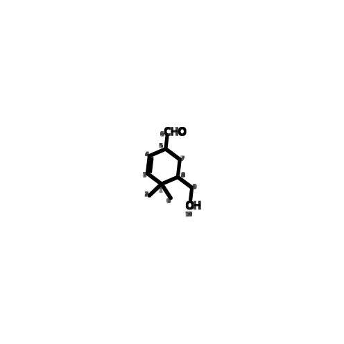 CC1(C)C=CC(C=O)CC1CO